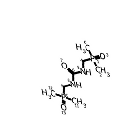 CP(C)(=O)CNC(=O)NCP(C)(C)=O